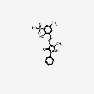 Cc1cc(N=Nc2c(C)[nH]n(-c3ccccc3)c2=O)c(O)c(S(=O)(=O)O)c1